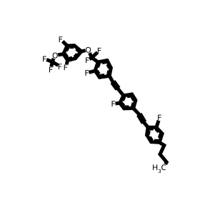 CCCCc1ccc(C#Cc2ccc(C#Cc3ccc(C(F)(F)Oc4cc(F)c(OC(F)(F)F)c(F)c4)c(F)c3)c(F)c2)c(F)c1